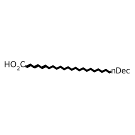 CCCCCCCCCCCCCCCCCCCCCCCCCCCC=CC=CC=CC(=O)O